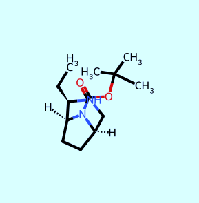 CC[C@H]1NC[C@H]2CC[C@@H]1N2C(=O)OC(C)(C)C